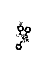 O=C(NCP(=O)(OCc1ccccc1)OCc1ccccc1)c1ccc(Br)cc1